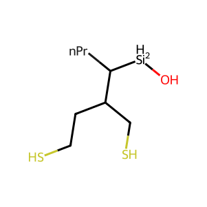 CCCC([SiH2]O)C(CS)CCS